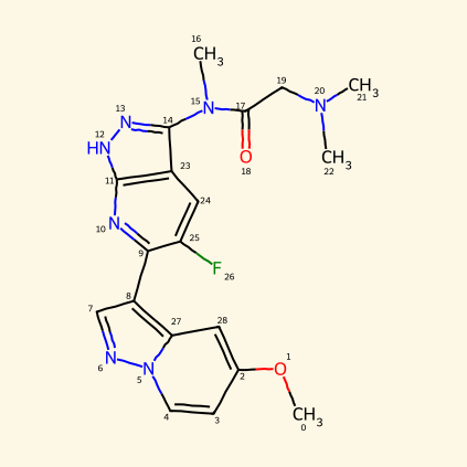 COc1ccn2ncc(-c3nc4[nH]nc(N(C)C(=O)CN(C)C)c4cc3F)c2c1